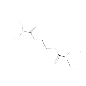 CCCCCCN(CCCCCC)C(=O)CCCCC(=O)N(CCCCCC)CCCCCC